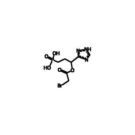 O=C(CBr)OC(CCP(=O)(O)O)c1nc[nH]n1